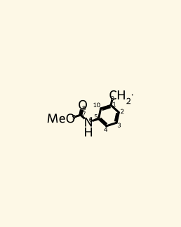 [CH2]c1cccc(NC(=O)OC)c1